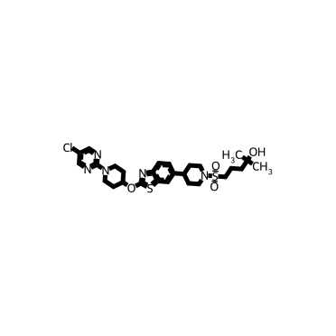 CC(C)(O)CCCS(=O)(=O)N1CCC(c2ccc3nc(OC4CCN(c5ncc(Cl)cn5)CC4)sc3c2)CC1